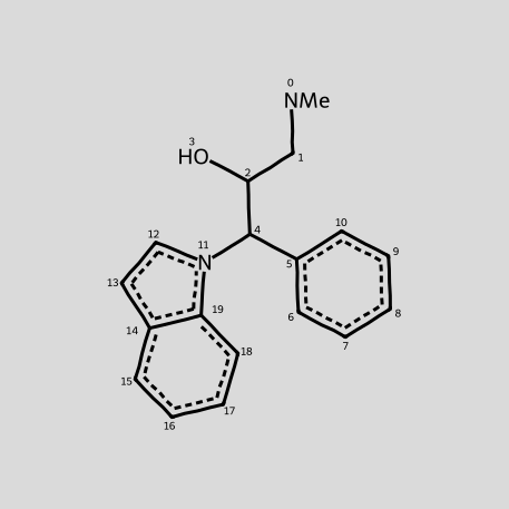 CNCC(O)C(c1ccccc1)n1ccc2ccccc21